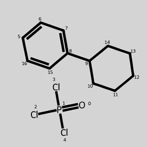 O=P(Cl)(Cl)Cl.c1ccc(C2CCCCC2)cc1